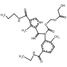 CCCNC(=O)c1c[nH]c(C(=N)N(C(=O)OCOC(=O)CO)c2cc(C(=O)NCC)ccc2C)c1C